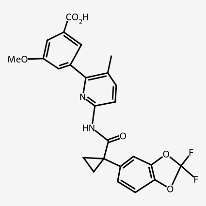 COc1cc(C(=O)O)cc(-c2nc(NC(=O)C3(c4ccc5c(c4)OC(F)(F)O5)CC3)ccc2C)c1